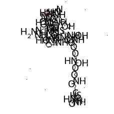 CSCC[C@H](NC(=O)[C@@H](NC(=O)COCCOCCNC(O)COCCOCCNC(=O)CCCC[C@@H]1SC[C@@H]2NC(=O)N[C@@H]21)[C@@H](C)O)C(=O)NCC(=O)N[C@@H](Cc1ccccc1)C(=O)N[C@H](C(=O)N[C@@H](C)C(=O)N1CCC[C@H]1C(=O)N[C@@H](CCCNC(=N)N)C(=O)N[C@@H](Cc1ccccc1)C(=O)N1CCC[C@H]1C(=O)N[C@@H](Cc1cnc[nH]1)C(=O)N[C@@H](Cc1ccc(O)cc1)C(N)=O)[C@@H](C)O